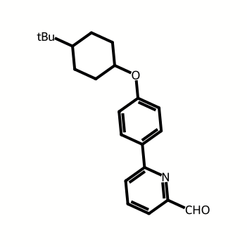 CC(C)(C)C1CCC(Oc2ccc(-c3cccc(C=O)n3)cc2)CC1